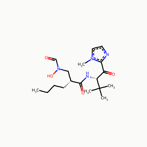 CCCC[C@H](CN(O)C=O)C(=O)N[C@H](C(=O)c1nccn1C)C(C)(C)C